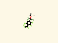 CCO[Si](Cl)(Cl)c1c(F)c(F)c(C(F)=C(F)F)c(F)c1F